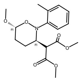 COC(=O)C(C(=O)OC)[C@H]1CC[C@H](OC)ON1c1ccccc1C